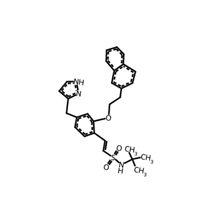 CC(C)(C)NS(=O)(=O)C=Cc1ccc(Cc2cc[nH]n2)cc1OCCc1ccc2ccccc2c1